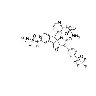 CC(c1ccnc(NS(N)(=O)=O)c1)C1(C(C)c2ccnc(NS(N)(=O)=O)c2)NC(=O)N(c2ccc(S(=O)(=O)C(F)(F)F)cc2)C1=O